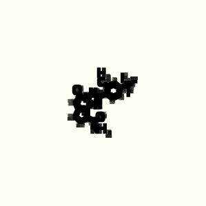 Cc1cc(C(F)(F)F)ccc1-c1nc2n3c(cc(=O)n2n1)CCC3C(N)=O